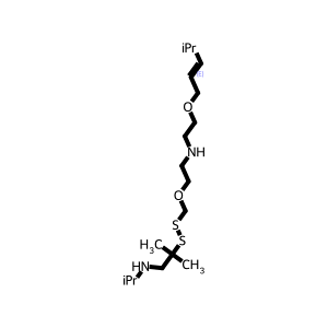 CC(C)/C=C/COCCNCCOCSSC(C)(C)CNC(C)C